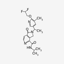 Cc1cc(C(C)N2Cc3c(ccnc3C(=O)NC(C)C)C2=O)cnc1OCC(F)F